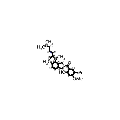 COc1cc(O)c(C(=O)N2Cc3ccc(C)c(N(C)C(=O)/C=C/CN(C)C)c3C2)cc1C(C)C